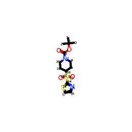 CC(C)(C)OC(=O)N1CCC(S(=O)(=O)c2nccs2)CC1